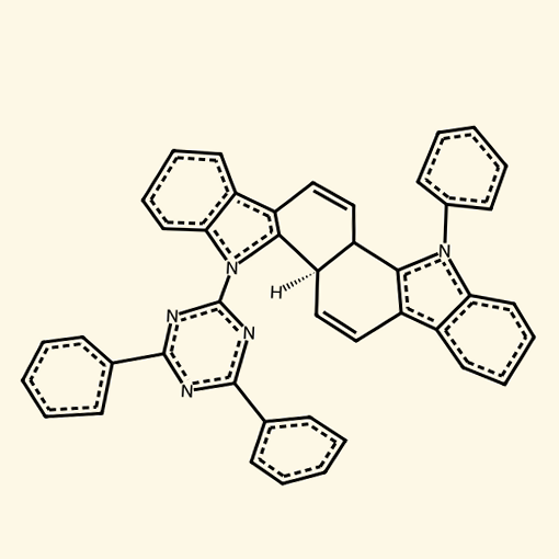 C1=C[C@H]2c3c(c4ccccc4n3-c3nc(-c4ccccc4)nc(-c4ccccc4)n3)C=CC2c2c1c1ccccc1n2-c1ccccc1